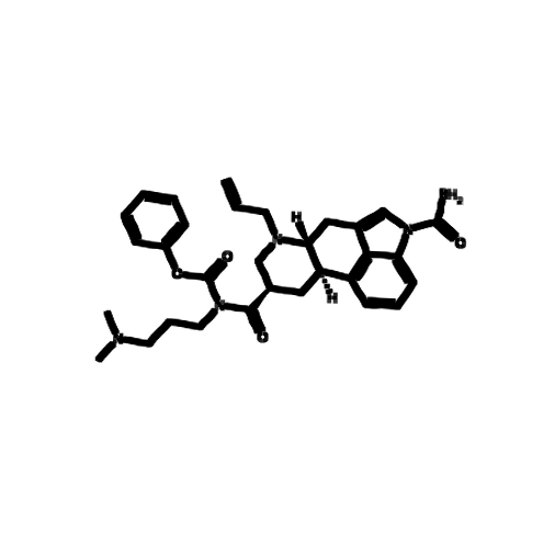 BC(=O)n1cc2c3c(cccc31)[C@H]1C[C@@H](C(=O)N(CCCN(C)C)C(=O)Oc3ccccc3)CN(CC=C)[C@@H]1C2